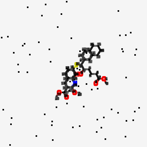 COC(=O)CCCC(O)C(Sc1ccc2cc(C(=O)OC)c(OC)nc2c1)c1ccc2c(c1)CCCC2